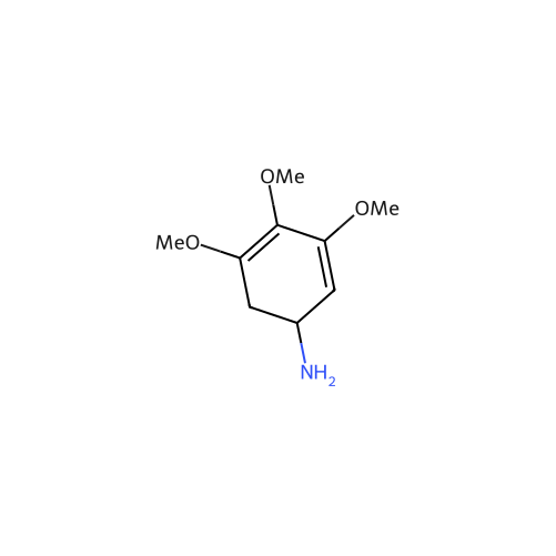 COC1=CC(N)CC(OC)=C1OC